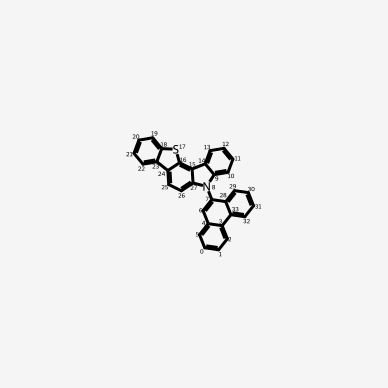 c1ccc2c(c1)cc(-n1c3ccccc3c3c4sc5ccccc5c4ccc31)c1ccccc12